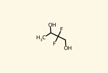 CC(O)C(F)(F)CO